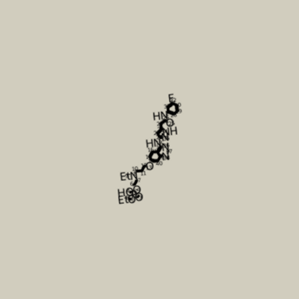 CCOP(=O)(O)OCCN(CC)CCCOc1ccc2c(Nc3cc(CC(=O)Nc4cccc(F)c4)[nH]n3)ncnc2c1